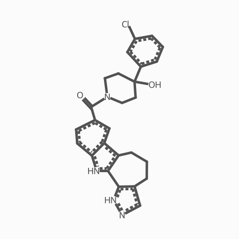 O=C(c1ccc2[nH]c3c(c2c1)CCCc1cn[nH]c1-3)N1CCC(O)(c2cccc(Cl)c2)CC1